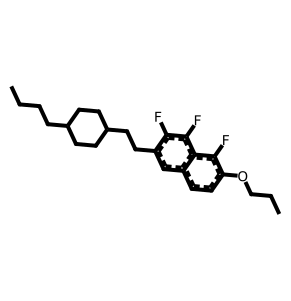 CCCCC1CCC(CCc2cc3ccc(OCCC)c(F)c3c(F)c2F)CC1